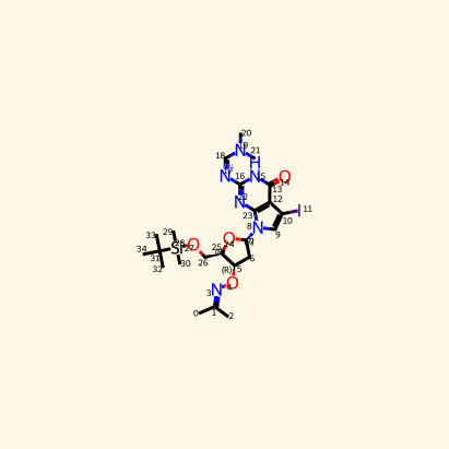 CC(C)=NO[C@@H]1C[C@H](n2cc(I)c3c(=O)[nH]c(/N=C\N(C)C)nc32)O[C@@H]1CO[Si](C)(C)C(C)(C)C